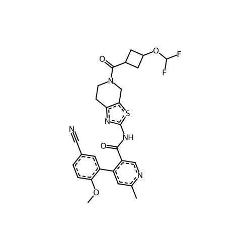 COc1ccc(C#N)cc1-c1cc(C)ncc1C(=O)Nc1nc2c(s1)CN(C(=O)C1CC(OC(F)F)C1)CC2